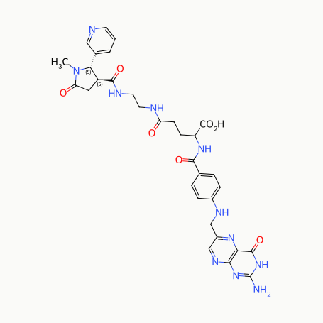 CN1C(=O)C[C@H](C(=O)NCCNC(=O)CCC(NC(=O)c2ccc(NCc3cnc4nc(N)[nH]c(=O)c4n3)cc2)C(=O)O)[C@H]1c1cccnc1